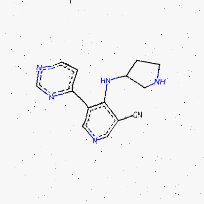 N#Cc1cncc(-c2ccncn2)c1NC1CCNC1